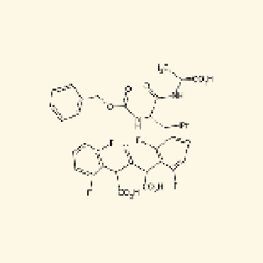 CC(C)C[C@H](NC(=O)OCc1ccccc1)C(=O)N[C@@H](C)C(=O)O.O=C(O)C(C(=O)C(C(=O)O)c1c(F)cccc1F)c1c(F)cccc1F